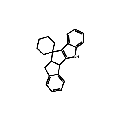 c1ccc2c(c1)CC1C2c2[nH]c3ccccc3c2C12CCCCC2